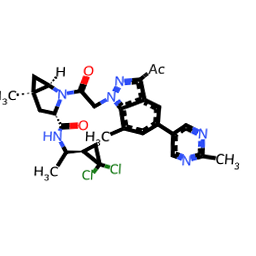 CC(=O)c1nn(CC(=O)N2[C@H](C(=O)NC(C)[C@H]3CC3(Cl)Cl)C[C@@]3(C)C[C@@H]23)c2c(C)cc(-c3cnc(C)nc3)cc12